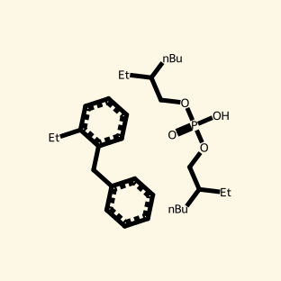 CCCCC(CC)COP(=O)(O)OCC(CC)CCCC.CCc1ccccc1Cc1ccccc1